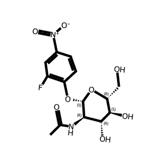 CC(=O)N[C@H]1[C@H](Oc2ccc([N+](=O)[O-])cc2F)O[C@H](CO)[C@@H](O)[C@@H]1O